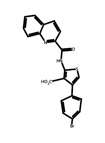 O=C(Nc1scc(-c2ccc(Br)cc2)c1C(=O)O)c1ccc2ccccc2n1